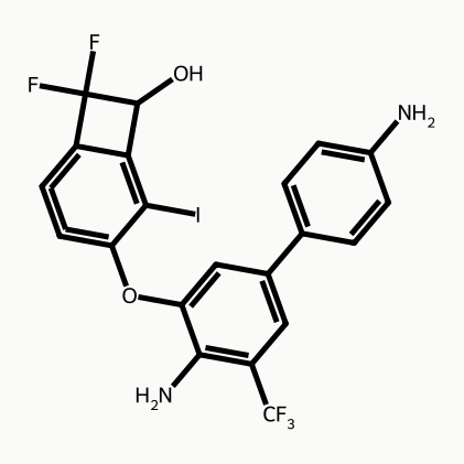 Nc1ccc(-c2cc(OC3=C=C=C4C(=C3I)C(O)C4(F)F)c(N)c(C(F)(F)F)c2)cc1